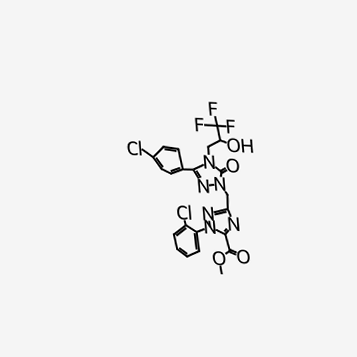 COC(=O)c1nc(Cn2nc(-c3ccc(Cl)cc3)n(CC(O)C(F)(F)F)c2=O)nn1-c1ccccc1Cl